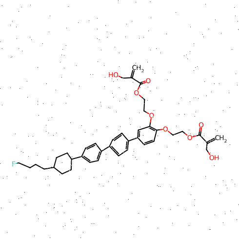 C=C(CO)C(=O)OCCOc1ccc(-c2ccc(-c3ccc(C4CCC(CCCCF)CC4)cc3)cc2)cc1OCCOC(=O)C(=C)CO